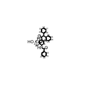 O=C(NC1C[C@@H]2CC[C@H]1[C@H](C(=O)O)N2C(=O)C(c1ccccc1)c1ccccc1)c1ccccc1